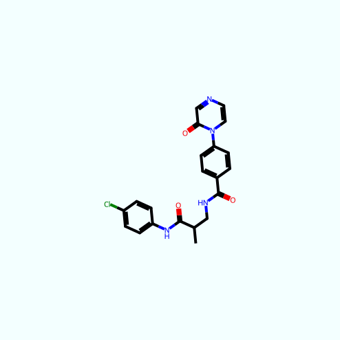 CC(CNC(=O)c1ccc(-n2ccncc2=O)cc1)C(=O)Nc1ccc(Cl)cc1